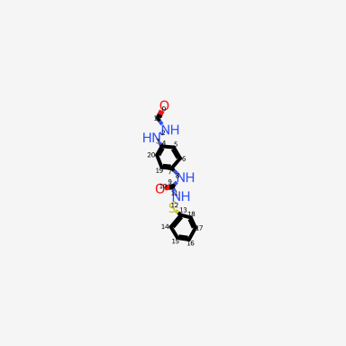 O=CNNc1ccc(NC(=O)NSc2ccccc2)cc1